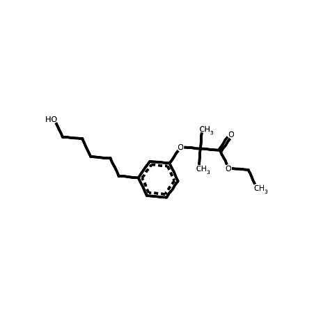 CCOC(=O)C(C)(C)Oc1cccc(CCCCCO)c1